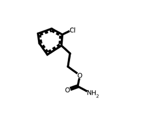 NC(=O)OCCc1ccccc1Cl